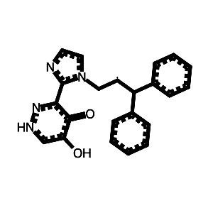 O=c1c(O)c[nH]nc1-c1nccn1C[CH]C(c1ccccc1)c1ccccc1